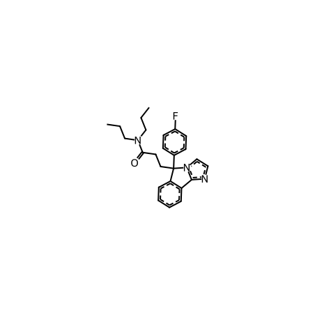 CCCN(CCC)C(=O)CCC1(c2ccc(F)cc2)c2ccccc2-c2nccn21